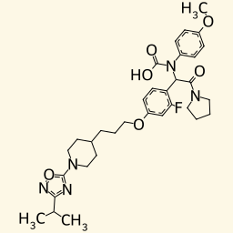 COc1ccc(N(C(=O)O)C(C(=O)N2CCCC2)c2ccc(OCCCC3CCN(c4nc(C(C)C)no4)CC3)cc2F)cc1